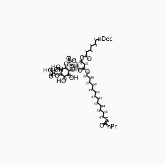 CCCCCCCCCCCCCCCC(=O)O[C@@H](COP(=O)(O)OC1C(O)[C@H](O)C(O)[C@H](OP(=O)(O)O)[C@@H]1O)CC(=O)OCCCCCCCCCCCCCSC(=O)CCC